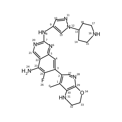 Cc1c(-c2cc3nc(Nc4cnn(C5CCNCC5)c4)ncc3c(N)c2F)cnc2c1NCCO2